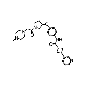 CN1CCN(CC(=O)N2CC[C@@H](Oc3ccc(NC(=O)N4CC(c5cccnc5)C4)cc3)C2)CC1